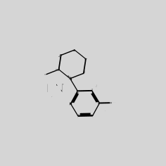 CC1CCCC[C@@]1(N)c1cccc(F)c1